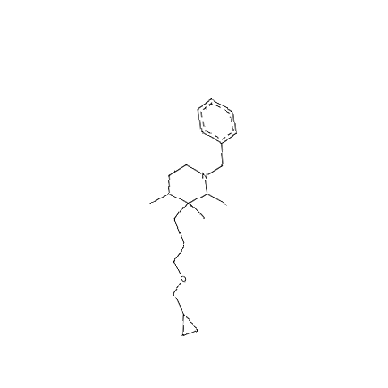 CC1CCN(Cc2ccccc2)C(C)C1(C)CCCOCC1CC1